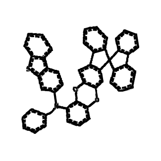 c1ccc(N(c2ccc3c(c2)sc2ccccc23)c2cccc3c2Oc2cc4c(cc2O3)C2(c3ccccc3-c3ccccc32)c2ccccc2-4)cc1